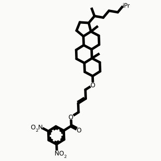 CC(C)CCCC(C)C1CCC2C3CCC4CC(OC/C=C/COC(=O)c5cc([N+](=O)[O-])cc([N+](=O)[O-])c5)CCC4(C)C3CCC12C